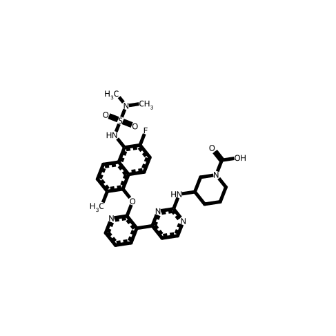 Cc1ccc2c(NS(=O)(=O)N(C)C)c(F)ccc2c1Oc1ncccc1-c1ccnc(NC2CCCN(C(=O)O)C2)n1